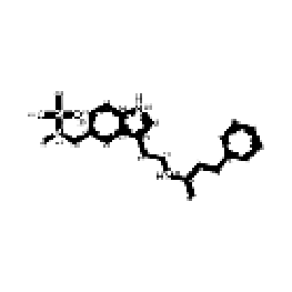 CC(CCc1ccccc1)NCCc1c[nH]c2ccc(CN(C)S(C)(=O)=O)cc12